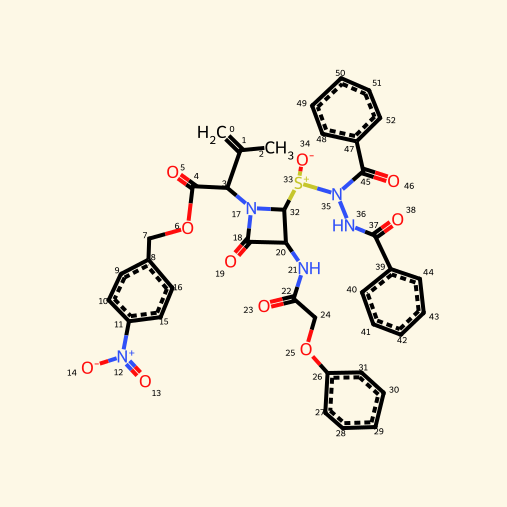 C=C(C)C(C(=O)OCc1ccc([N+](=O)[O-])cc1)N1C(=O)C(NC(=O)COc2ccccc2)C1[S+]([O-])N(NC(=O)c1ccccc1)C(=O)c1ccccc1